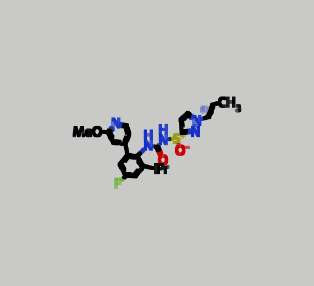 C/C=C/n1ccc([S+]([O-])NC(=O)Nc2c(-c3ccnc(OC)c3)cc(F)cc2C(C)C)n1